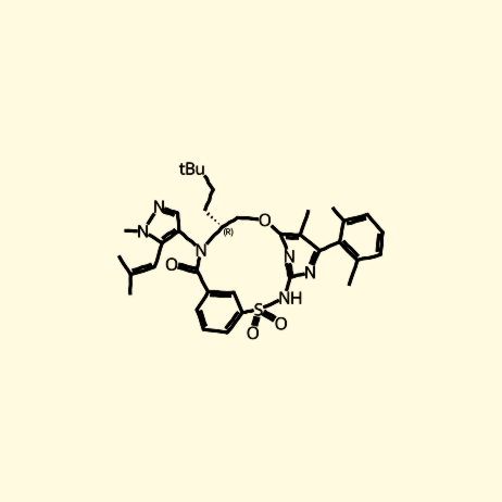 CC(C)=Cc1c(N2C(=O)c3cccc(c3)S(=O)(=O)Nc3nc(c(C)c(-c4c(C)cccc4C)n3)OC[C@H]2CCC(C)(C)C)cnn1C